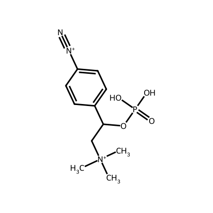 C[N+](C)(C)CC(OP(=O)(O)O)c1ccc([N+]#N)cc1